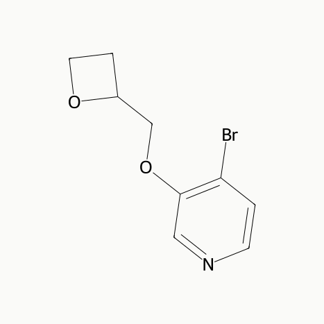 Brc1ccncc1OCC1CCO1